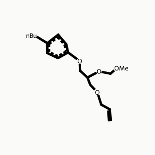 C=CCOCC(COc1ccc(CCCC)cc1)OCOC